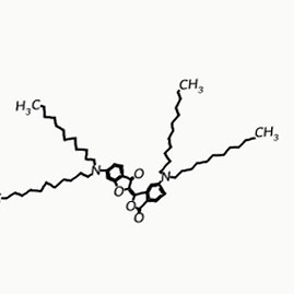 CCCCCCCCCCCCN(CCCCCCCCCCCC)c1ccc2c(c1)OC(=C1OC(=O)c3ccc(N(CCCCCCCCCCCC)CCCCCCCCCCCC)cc31)C2=O